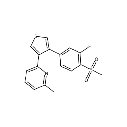 Cc1cccc(-c2cscc2-c2ccc(S(C)(=O)=O)c(F)c2)n1